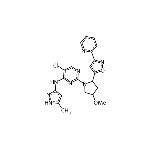 COC1CC(c2cc(-c3ccccn3)no2)N(c2ncc(Cl)c(Nc3cc(C)[nH]n3)n2)C1